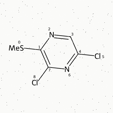 CSc1ncc(Cl)nc1Cl